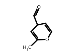 CC1=CC(C=O)C=CO1